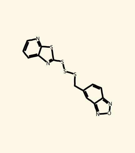 c1cnc2sc(SSSCc3ccc4nonc4c3)nc2c1